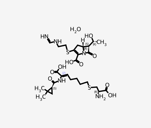 CC1(C)C[C@@H]1C(=O)N/C(=C\CCCCSC[C@H](N)C(=O)O)C(=O)O.C[C@@H](O)[C@H]1C(=O)N2C(C(=O)O)=C(SCCNC=N)C[C@H]12.O